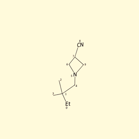 CCC(C)(C)CN1CC(C#N)C1